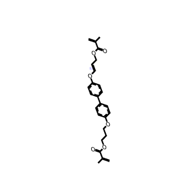 C=C(C)C(=O)OC/C=C/Oc1ccc(-c2ccc(OCCCOC(=O)C(=C)C)cc2)cc1